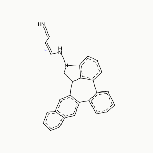 N=C/C=C\NN1CC2c3cc4ccccc4cc3-c3ccccc3-c3cccc1c32